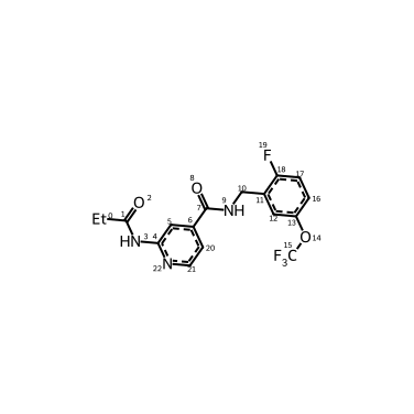 CCC(=O)Nc1cc(C(=O)NCc2cc(OC(F)(F)F)ccc2F)ccn1